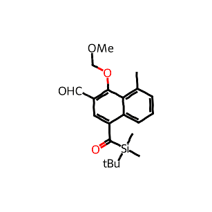 COCOc1c(C=O)cc(C(=O)[Si](C)(C)C(C)(C)C)c2cccc(C)c12